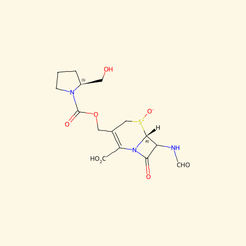 O=CNC1C(=O)N2C(C(=O)O)=C(COC(=O)N3CCC[C@H]3CO)C[S+]([O-])[C@H]12